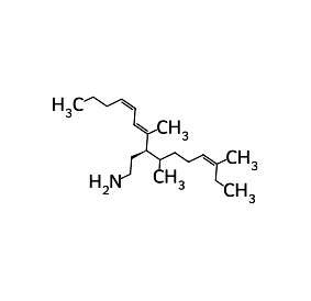 CCC/C=C\C=C(/C)[C@H](CCN)C(C)CC/C=C(/C)CC